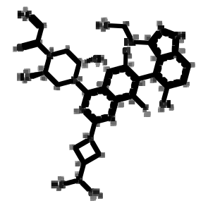 C=CC(=O)N1C[C@H](C)N(c2nc(N3CC(N(C)C)C3)nc3c(F)c(-c4c(C)ccc5[nH]nc(NCC)c45)c(Cl)cc23)C[C@H]1C